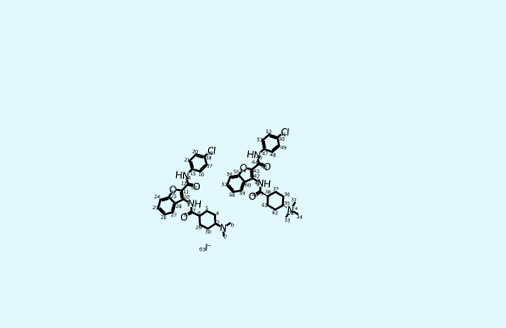 CN(C)C1CCC(C(=O)Nc2c(C(=O)Nc3ccc(Cl)cc3)oc3ccccc23)CC1.C[N+](C)(C)[C@H]1CC[C@H](C(=O)Nc2c(C(=O)Nc3ccc(Cl)cc3)oc3ccccc23)CC1.[I-]